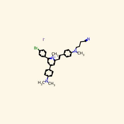 CN(C)c1ccc(-c2cc(/C=C/c3ccc(N(C)CCCC#N)cc3)[n+](C)c(-c3ccc(Br)cc3)c2)cc1.[I-]